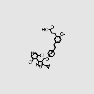 COc1ccc(/C=C/C23CCC(OCc4c(-c5c(Cl)cncc5Cl)noc4C4CC4)(CC2)CC3)cc1CCC(=O)O